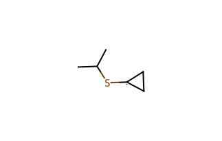 CC(C)S[C]1CC1